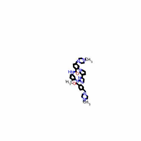 Cc1ccc(NC(=O)c2ccc(CN3CCN(C)CC3)cc2)cc1N(C(=O)c1ccc(CN2CCN(C)CC2)cc1)C1=NCCC(c2cccnc2)=N1